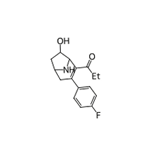 CCC(=O)C1=C(c2ccc(F)cc2)CC2CC(O)C1N2